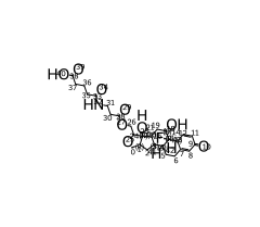 C[C@@H]1C[C@H]2[C@@H]3CCC4=CC(=O)C=C[C@]4(C)[C@@]3(F)[C@@H](O)C[C@]2(C)[C@@]1(O)C(=O)COC(=O)CCNC(=O)CCCC(=O)O